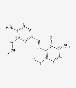 CCC1=C(C=Cc2cnc(N)c(CNC)c2)C(F)C(N)C=C1